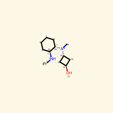 CC(C)N[C@H]1CCCC[C@@H]1N(C)[C@H]1C[C@H](O)C1